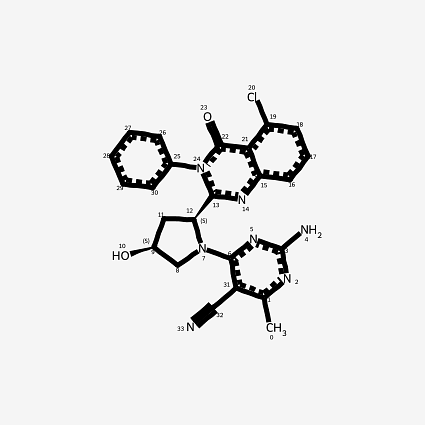 Cc1nc(N)nc(N2C[C@@H](O)C[C@H]2c2nc3cccc(Cl)c3c(=O)n2-c2ccccc2)c1C#N